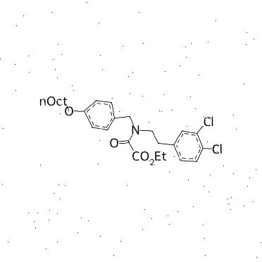 CCCCCCCCOc1ccc(CN(CCc2ccc(Cl)c(Cl)c2)C(=O)C(=O)OCC)cc1